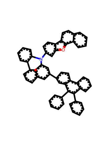 c1ccc(-c2ccccc2N(c2cccc(-c3ccc4c(c3)c(-c3ccccc3)c(-c3ccccc3)c3ccccc34)c2)c2ccc3c(c2)oc2c4ccccc4ccc32)cc1